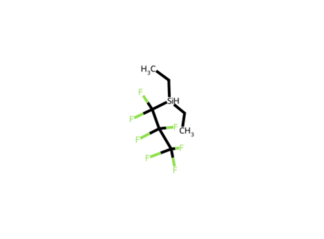 CC[SiH](CC)C(F)(F)C(F)(F)C(F)(F)F